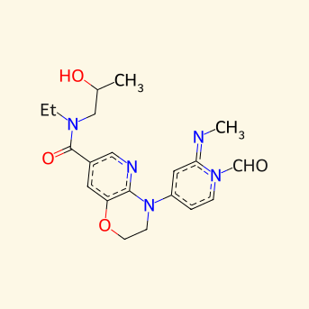 CCN(CC(C)O)C(=O)c1cnc2c(c1)OCCN2c1ccn(C=O)/c(=N\C)c1